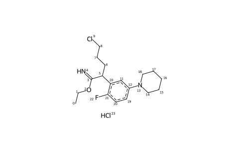 CCOC(=N)C(CCCCl)c1cc(N2CCCCC2)ccc1F.Cl